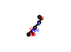 O=C(NC1CCC(CCN2CCC(c3coc4ccccc34)CC2)CC1)C(Cc1ccccc1)C1=COCO1